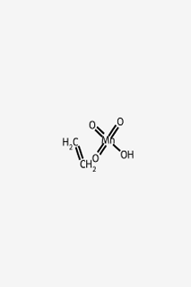 C=C.[O]=[Mn](=[O])(=[O])[OH]